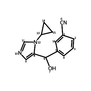 N#Cc1cccc(C(O)c2cncn2C2CC2)c1